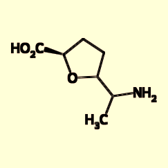 CC(N)C1CC[C@H](C(=O)O)O1